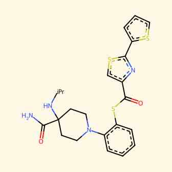 CC(C)NC1(C(N)=O)CCN(c2ccccc2SC(=O)c2csc(-c3cccs3)n2)CC1